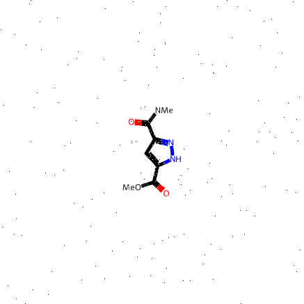 CNC(=O)c1cc(C(=O)OC)[nH]n1